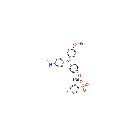 CN(C)c1ccc([S+](c2ccc(OC(C)(C)C)cc2)c2ccc(OC(C)(C)C)cc2)cc1.Cc1ccc(S(=O)(=O)[O-])cc1